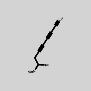 C#CC#CC#CCC(NC)C(C)=O